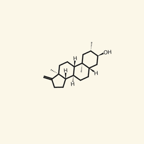 C=C1CC[C@H]2[C@@H]3CC[C@H]4C[C@H](O)[C@@H](C)C[C@]4(C)[C@H]3CC[C@]12C